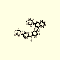 c1cnc2c(OC3CCC(Nc4ncc(N5CCOCC5)cn4)CC3)cc(N3CCOCC3)cc2n1